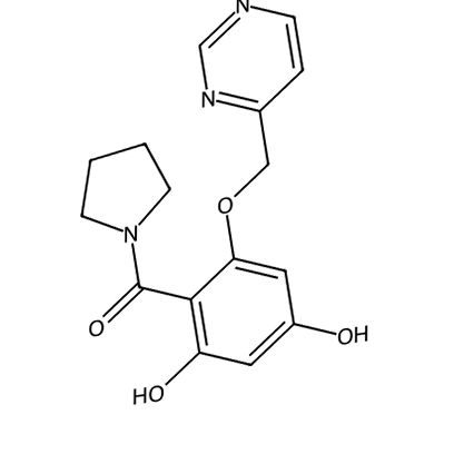 O=C(c1c(O)cc(O)cc1OCc1ccncn1)N1CCCC1